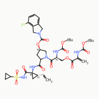 C=C[C@@H]1C[C@]1(NC(=O)C1C[C@@H](OC(=O)N2Cc3cccc(F)c3C2)CN1C(=O)[C@H](COC(=O)C(=C)NC(=O)OC(C)(C)C)NC(=O)OC(C)(C)C)C(=O)NS(=O)(=O)C1CC1